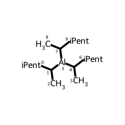 CCCC(C)[CH](C)[Al]([CH](C)C(C)CCC)[CH](C)C(C)CCC